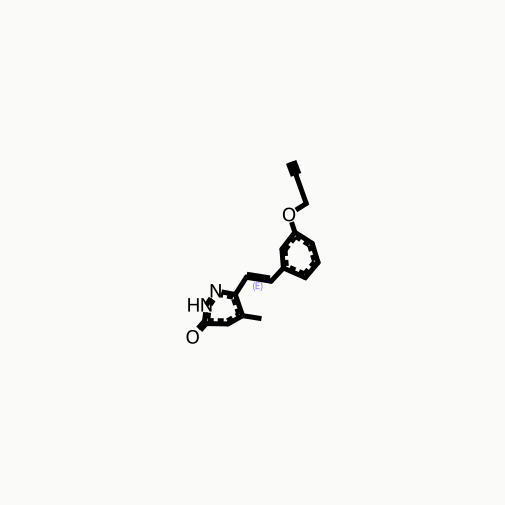 C#CCOc1cccc(/C=C/c2n[nH]c(=O)cc2C)c1